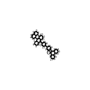 c1ccc2c(-c3c4ccccc4c(-c4ccc(-c5ccc6c(c5)oc5c7ccccc7c7ccccc7c65)cc4)c4ccccc34)cccc2c1